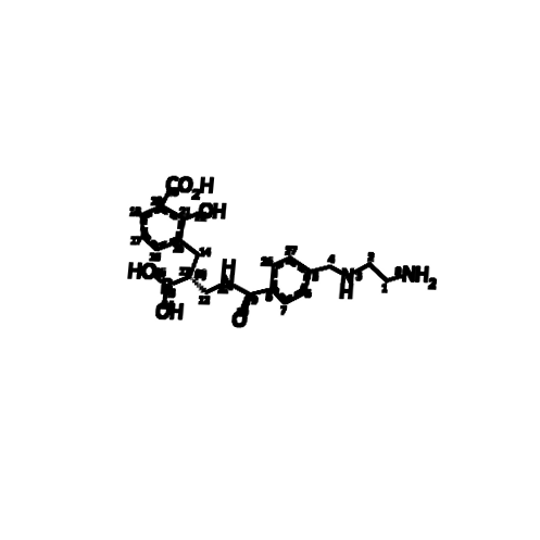 NCCNCc1ccc(C(=O)NC[C@@H](Cc2cccc(C(=O)O)c2O)B(O)O)cc1